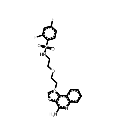 Nc1nc2ccccc2c2c1ncn2CCOCCNS(=O)(=O)c1ccc(F)cc1F